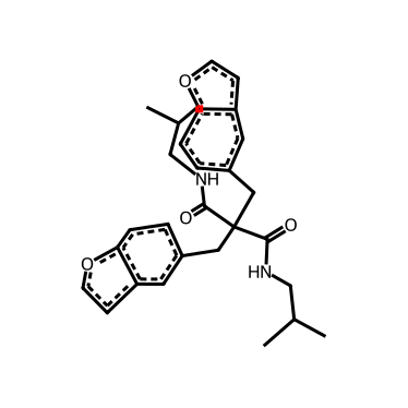 CC(C)CNC(=O)C(Cc1ccc2occc2c1)(Cc1ccc2occc2c1)C(=O)NCC(C)C